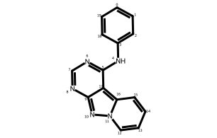 c1ccc(Nc2ncnc3nn4ccccc4c23)cc1